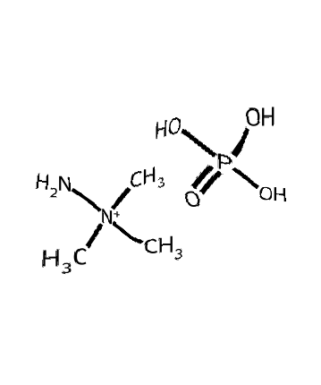 C[N+](C)(C)N.O=P(O)(O)O